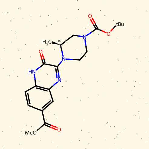 COC(=O)c1ccc2[nH]c(=O)c(N3CCN(C(=O)OC(C)(C)C)C[C@@H]3C)nc2c1